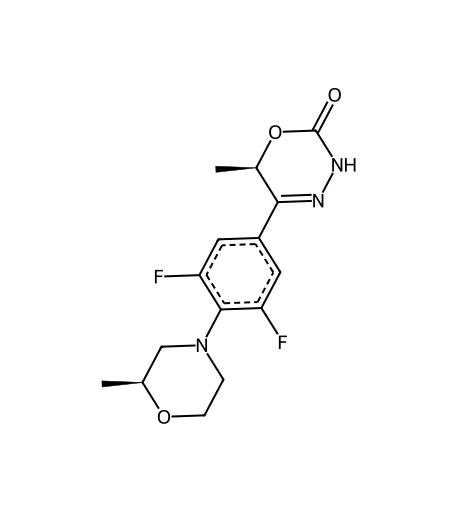 C[C@H]1CN(c2c(F)cc(C3=NNC(=O)O[C@@H]3C)cc2F)CCO1